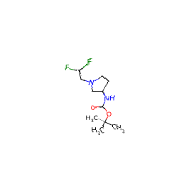 CC(C)(C)OC(=O)NC1CCN(CC(F)F)C1